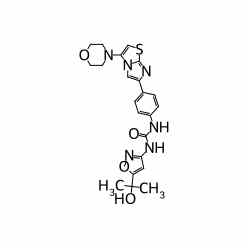 CC(C)(O)c1cc(NC(=O)Nc2ccc(-c3cn4c(N5CCOCC5)csc4n3)cc2)no1